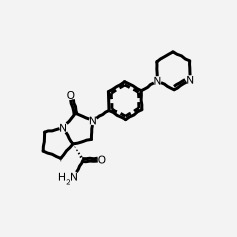 NC(=O)[C@]12[CH]CCN1C(=O)N(c1ccc(N3C=NCCC3)cc1)C2